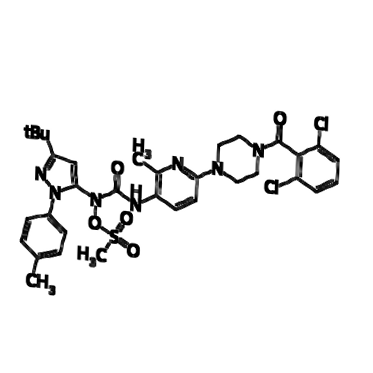 Cc1ccc(-n2nc(C(C)(C)C)cc2N(OS(C)(=O)=O)C(=O)Nc2ccc(N3CCN(C(=O)c4c(Cl)cccc4Cl)CC3)nc2C)cc1